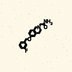 NC(=O)CN1CCc2cc(OCc3cccc(F)c3)ccc2C1